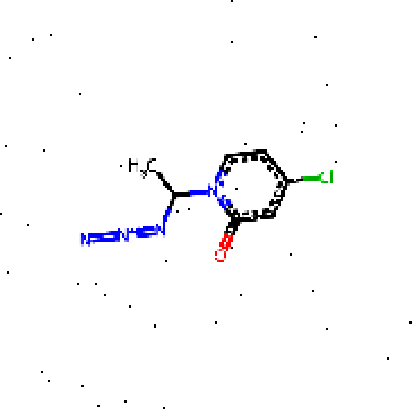 CC(N=[N+]=[N-])n1ccc(Cl)cc1=O